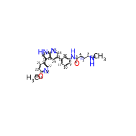 CNC/C=C/C(=O)Nc1cccc(-c2cnc3[nH]cc(-c4ccc(OC)nc4)c3c2)c1